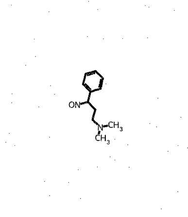 CN(C)CCC(N=O)c1ccccc1